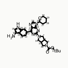 CC(C)(C)OC(=O)N1CC2CN(c3nc(-c4ccc5c(N)c[nH]c5c4)c4ncn(C5CCCCO5)c4n3)CC2C1